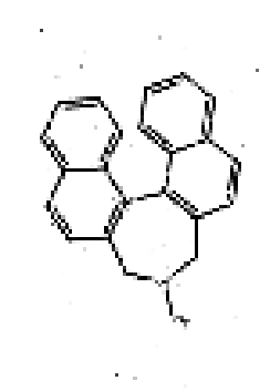 CC(C)N1Cc2ccc3ccccc3c2-c2c(ccc3ccccc23)C1